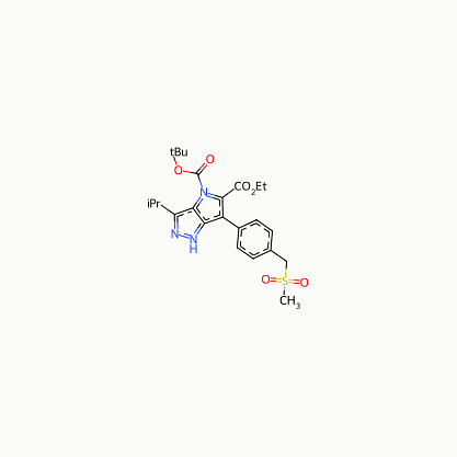 CCOC(=O)c1c(-c2ccc(CS(C)(=O)=O)cc2)c2[nH]nc(C(C)C)c2n1C(=O)OC(C)(C)C